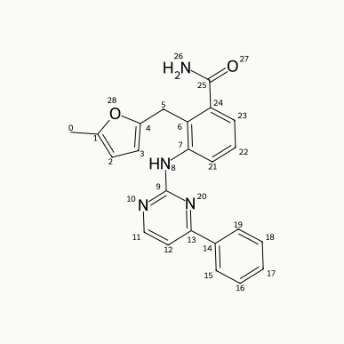 Cc1ccc(Cc2c(Nc3nccc(-c4ccccc4)n3)cccc2C(N)=O)o1